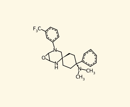 CN(C)[C@]1(c2ccccc2)CC[C@]2(CC1)CN(c1cccc(C(F)(F)F)c1)C1OC1N2